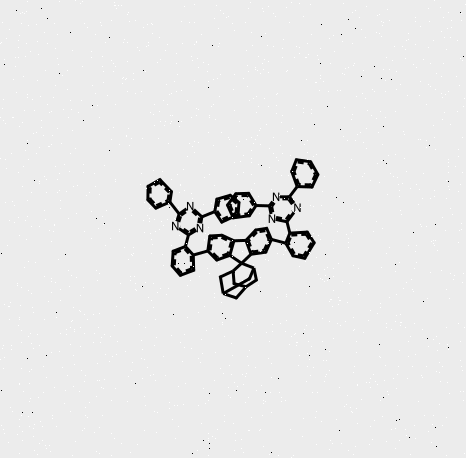 c1ccc(-c2nc(-c3ccccc3)nc(-c3ccccc3-c3ccc4c(c3)C3(c5cc(-c6ccccc6-c6nc(-c7ccccc7)nc(-c7ccccc7)n6)ccc5-4)C4CC5CC(C4)CC3C5)n2)cc1